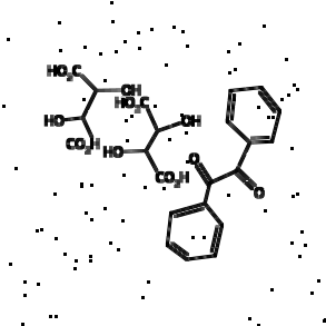 O=C(C(=O)c1ccccc1)c1ccccc1.O=C(O)C(O)C(O)C(=O)O.O=C(O)C(O)C(O)C(=O)O